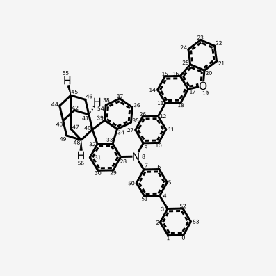 c1ccc(-c2ccc(N(c3ccc(-c4ccc5c(c4)oc4ccccc45)cc3)c3cccc4c3-c3ccccc3C43[C@H]4CC5C[C@H](C4)C[C@H]3C5)cc2)cc1